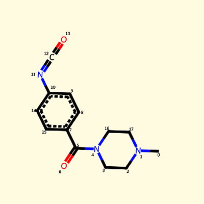 CN1CCN(C(=O)c2ccc(N=C=O)cc2)CC1